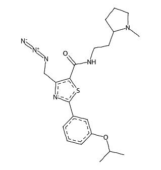 CC(C)Oc1cccc(-c2nc(CN=[N+]=[N-])c(C(=O)NCCC3CCCN3C)s2)c1